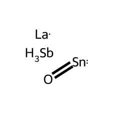 [La].[O]=[Sn].[SbH3]